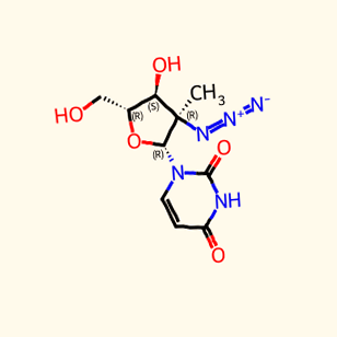 C[C@@]1(N=[N+]=[N-])[C@H](O)[C@@H](CO)O[C@H]1n1ccc(=O)[nH]c1=O